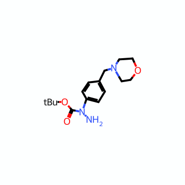 CC(C)(C)OC(=O)N(N)c1ccc(CN2CCOCC2)cc1